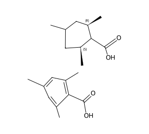 CC1C[C@@H](C)C(C(=O)O)[C@@H](C)C1.Cc1cc(C)c(C(=O)O)c(C)c1